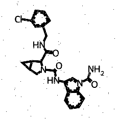 NC(=O)n1cc(NC(=O)N2CC3CC3C2C(=O)NCc2cccc(Cl)c2)c2ccccc21